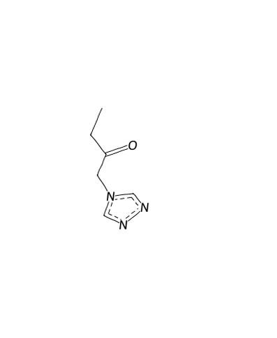 CCC(=O)Cn1cnnc1